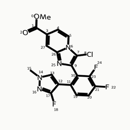 COC(=O)c1ccn2c(Cl)c(-c3c(-c4cn(C)nc4F)ccc(F)c3F)nc2c1